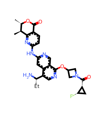 CC[C@H](N)c1cnc(OC2CN(C(=O)[C@@H]3C[C@@H]3F)C2)c2cnc(Nc3ccc4c(n3)[C@@H](C)[C@H](C)OC4=O)cc12